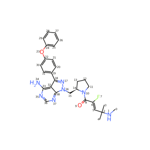 CNC(C)(C)/C=C(\F)C(=O)N1CCC[C@@H]1Cn1nc(-c2ccc(Oc3ccccc3)cc2)c2c(N)ncnc21